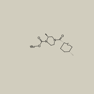 C[C@H]1CN(C(=O)[C@H]2CC[C@@H](C)CC2)CCN1C(=O)OC(C)(C)C